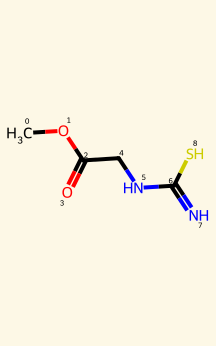 COC(=O)CNC(=N)S